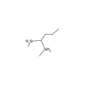 CCCC([SiH2]C)[SiH2]C